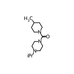 CC1CCN(C(=O)N2CCN(C(C)C)CC2)CC1